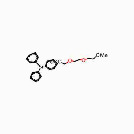 COCCOCCOCC(=O)[O-].c1cc[c]([Sn+]([c]2ccccc2)[c]2ccccc2)cc1